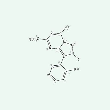 CCOC(=O)c1cc(C(C)C)n2nc(C)c(-c3ccccc3F)c2n1